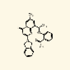 Cc1cc([C@@H](C)Nc2ccccc2C(N)=O)c2nc(N3Cc4ccccc4C3)cc(=O)n2c1